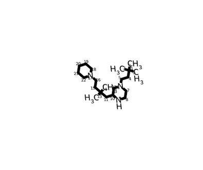 CC(C)(C)CCN1CCNC(CC(C)(C)CCN2CCCCC2)C1